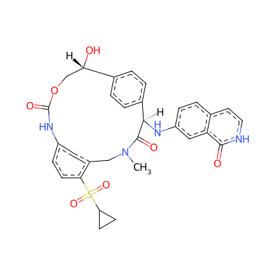 CN1Cc2cc(ccc2S(=O)(=O)C2CC2)NC(=O)OC[C@H](O)c2ccc(cc2)[C@@H](Nc2ccc3cc[nH]c(=O)c3c2)C1=O